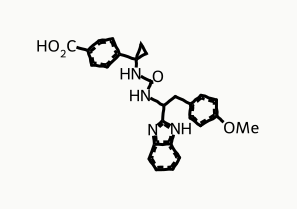 COc1ccc(CC(NC(=O)NC2(c3ccc(C(=O)O)cc3)CC2)c2nc3ccccc3[nH]2)cc1